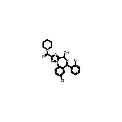 O=C(c1nc2n(n1)-c1ccc(Cl)cc1C(c1ccccc1Cl)=NC2O)N1CCCCC1